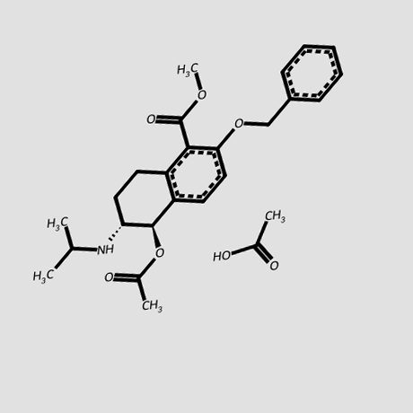 CC(=O)O.COC(=O)c1c(OCc2ccccc2)ccc2c1CC[C@@H](NC(C)C)[C@@H]2OC(C)=O